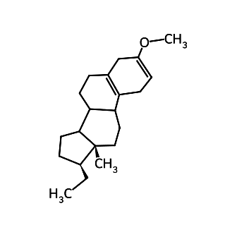 CC[C@H]1CCC2C3CCC4=C(CC=C(OC)C4)C3CC[C@@]21C